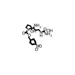 Cl.NC(=O)NCCC(N)C1(O)CCCN1C(=O)OCc1ccc([N+](=O)[O-])cc1